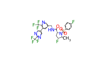 C[C@H]1[C@H](F)C[C@@H](C(=O)NCc2cnc(C(F)(F)F)c(-c3cnc(C(F)(F)F)nc3)c2)N1S(=O)(=O)c1ccc(F)cc1